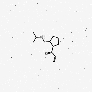 C=CC(=O)C1CCCC1CNC(C)C